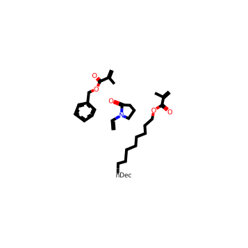 C=C(C)C(=O)OCCCCCCCCCCCCCCCCCC.C=C(C)C(=O)OCc1ccccc1.C=CN1CCCC1=O